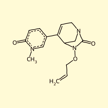 C=CCON1C(=O)N2CC=C(c3ccc(=O)n(C)c3)C1C2